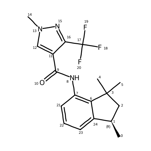 C[C@@H]1CC(C)(C)c2c(NC(=O)c3cn(C)nc3C(F)(F)F)cccc21